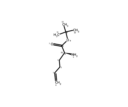 C=CCC[C@H](N)C(=O)OC(C)(C)C